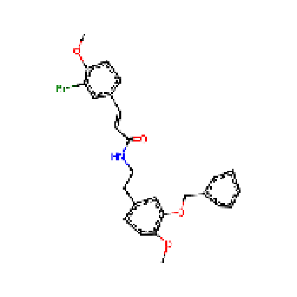 COc1ccc(C=CC(=O)NCCc2ccc(OC)c(OCc3ccccc3)c2)cc1Br